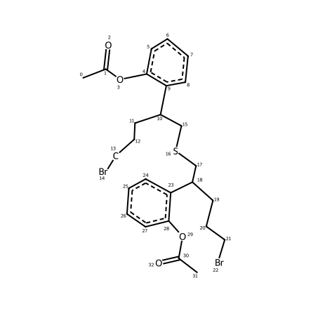 CC(=O)Oc1ccccc1C(CCCBr)CSCC(CCCBr)c1ccccc1OC(C)=O